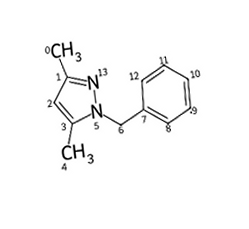 Cc1cc(C)n(Cc2c[c]ccc2)n1